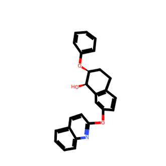 O[C@@H]1c2cc(Oc3ccc4ccccc4n3)ccc2CC[C@@H]1Oc1ccccc1